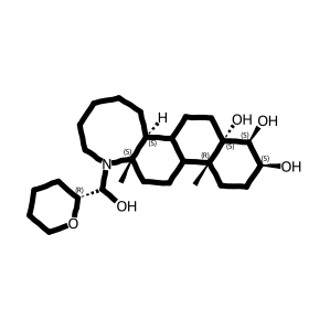 C[C@]12CCC3C(CC[C@@]4(O)[C@@H](O)[C@@H](O)CC[C@]34C)[C@@H]1CCCCCN2C(O)[C@H]1CCCCO1